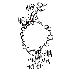 O=C(NC(CO)(CO)CO)C1C2c3cc4ccc3[C@@H](c3cc(ccc32)OCc2ccc(cc2)COc2ccc3c(c2)C2c5ccc(cc5[C@H]3[C@@H](C(=O)NC(CO)(CO)CO)C2C(=O)NC(CO)(CO)CO)OCc2ccc(cc2)CO4)C1C(=O)NC(CO)(CO)CO